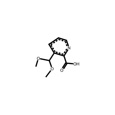 COC(OC)c1cccnc1C(=O)O